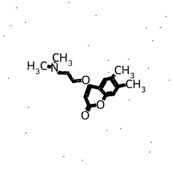 Cc1cc2oc(=O)cc(OCCCN(C)C)c2cc1C